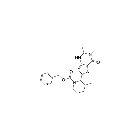 CC1CCCN(C(=O)OCc2ccccc2)C1n1cc2c(n1)C(=O)N(C)C(C)N2